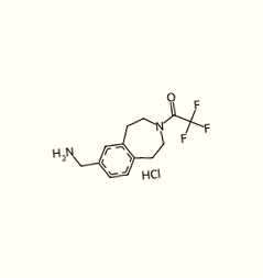 Cl.NCc1ccc2c(c1)CCN(C(=O)C(F)(F)F)CC2